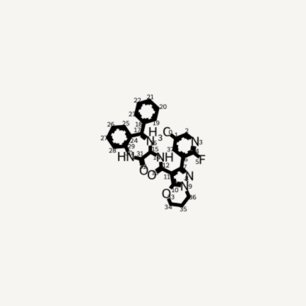 Cc1cnc(F)c(-c2nn3c(c2C(=O)NC2N=C(c4ccccc4)c4ccccc4NC2=O)OCCC3)c1